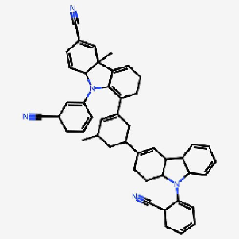 CC1C=C(C2=C3C(=CCC2)C2(C)C=C(C#N)C=CC2N3C2=CC(C#N)CC=C2)CC(C2=CC3C4C=CC=CC4N(C4=CC=CCC4C#N)C3CC2)C1